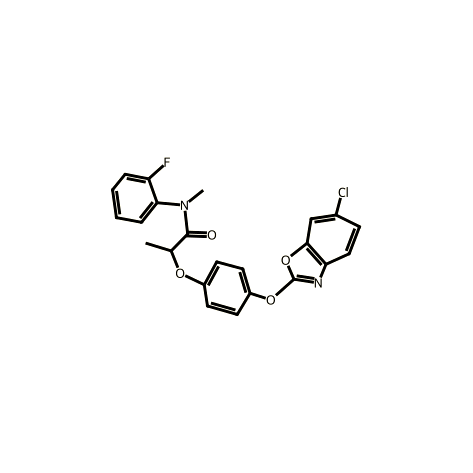 CC(Oc1ccc(Oc2nc3ccc(Cl)cc3o2)cc1)C(=O)N(C)c1ccccc1F